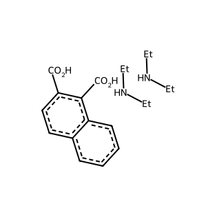 CCNCC.CCNCC.O=C(O)c1ccc2ccccc2c1C(=O)O